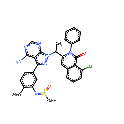 COc1ccc(-c2nn(C(C)c3cc4cccc(Cl)c4c(=O)n3-c3ccccc3)c3ncnc(N)c23)cc1N=[SH](=O)OC